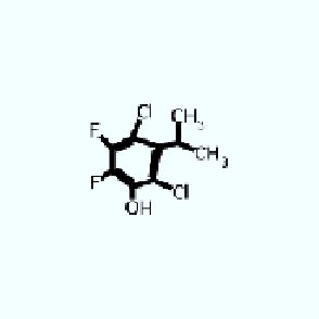 CC(C)c1c(Cl)c(O)c(F)c(F)c1Cl